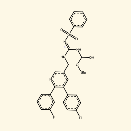 CC(C)(C)OC(O)N/C(=N\S(=O)(=O)c1ccccc1)NCc1cnc(-c2cccc(F)c2)c(-c2ccc(Cl)cc2)c1